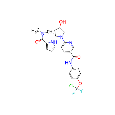 CN(C)C(=O)c1ccc(-c2cc(C(=O)Nc3ccc(OC(F)(F)Cl)cc3)cnc2N2CC[C@@H](O)C2)[nH]1